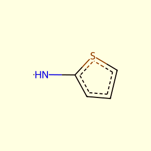 [NH]c1cccs1